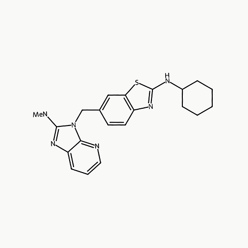 CNc1nc2cccnc2n1Cc1ccc2nc(NC3CCCCC3)sc2c1